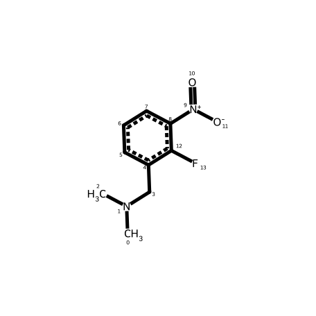 CN(C)Cc1cccc([N+](=O)[O-])c1F